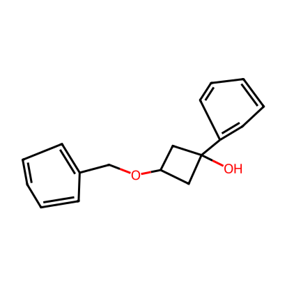 OC1(c2ccccc2)CC(OCc2ccccc2)C1